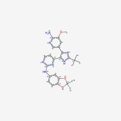 COc1cc(-c2nc(C(C)(C)C)[nH]c2-c2ccnc(Nc3ccc4c(c3)OC(F)(F)O4)n2)cnc1N